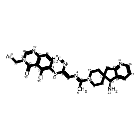 C=N/C(=C\N=C(/C)N1CCC2(CC1)Cc1ncccc1[C@H]2N)Sc1ccc2ncn(CC(C)=O)c(=O)c2c1Cl